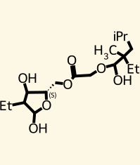 CCC1C(O)O[C@@H](COC(=O)COC(O)C(C)(CC)CC(C)C)C1O